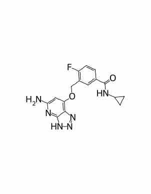 Nc1cc(OCc2cc(C(=O)NC3CC3)ccc2F)c2nn[nH]c2n1